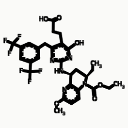 CCOC(=O)N1c2ccc(OC)nc2[C@@H](Nc2nc(O)c(CCC(=O)O)c(Cc3cc(C(F)(F)F)cc(C(F)(F)F)c3)n2)C[C@H]1CC